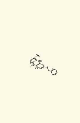 Cc1csc(Nc2ncc(SCc3ccccn3)cc2O)n1